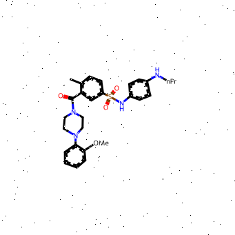 CCCNc1ccc(NS(=O)(=O)c2ccc(C)c(C(=O)N3CCN(c4ccccc4OC)CC3)c2)cc1